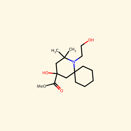 COC(=O)C1(O)CC(C)(C)N(CCO)C2(CCCCC2)C1